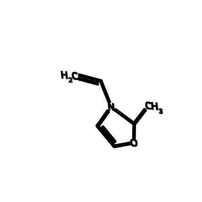 C=CN1C=COC1C